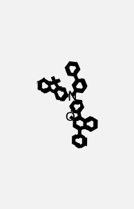 CC1(C)c2ccccc2-c2ccc(N(c3cccc(-c4ccccc4)c3)c3ccc4c(c3)oc3cc(-c5ccccc5)c5ccccc5c34)cc21